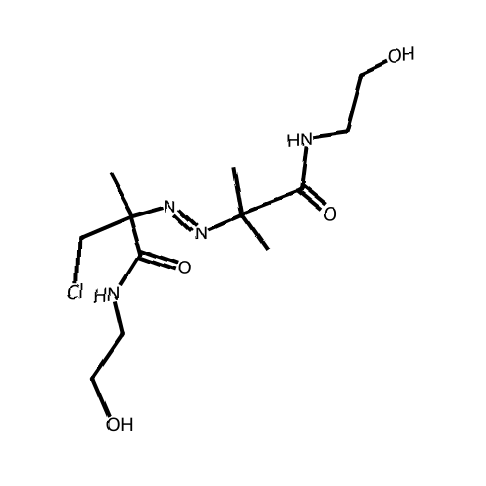 CC(C)(N=NC(C)(CCl)C(=O)NCCO)C(=O)NCCO